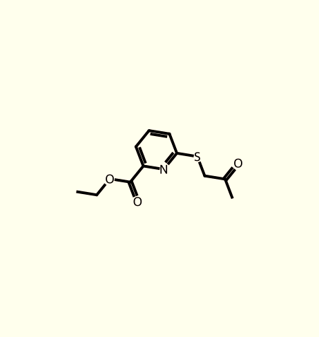 CCOC(=O)c1cccc(SCC(C)=O)n1